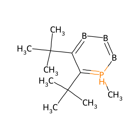 C[PH]1=C(C(C)(C)C)C(C(C)(C)C)=BB=B1